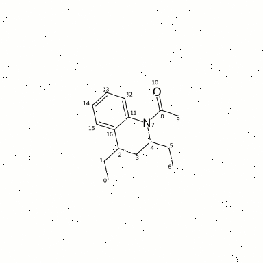 CCC1CC(CC)N(C(C)=O)c2ccccc21